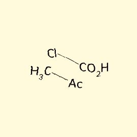 CC(C)=O.O=C(O)Cl